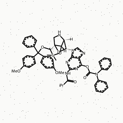 COc1ccc(C(OC[C@@]23CN[C@@H]([C@H](n4cnc5c(OC(=O)N(c6ccccc6)c6ccccc6)nc(NC(=O)C(C)C)nc54)O2)[C@@H]3O[Si](C)(C)C)(c2ccccc2)c2ccc(OC)cc2)cc1